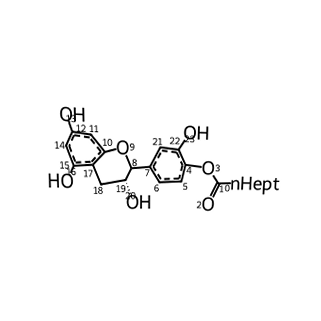 CCCCCCCC(=O)Oc1ccc(C2Oc3cc(O)cc(O)c3C[C@H]2O)cc1O